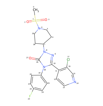 CS(=O)(=O)N1CCC(n2nc(-c3ccncc3Cl)n(-c3ccc(F)cc3)c2=O)CC1